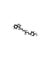 COc1ccc(/C=C/C(=O)NCCNC2=NCc3ccccc32)cc1